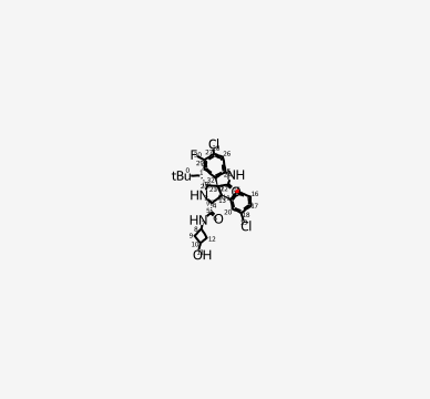 CC(C)(C)C[C@H]1N[C@@H](C(=O)NC2CC(O)C2)[C@H](c2cccc(Cl)c2)[C@@]12C(=O)Nc1cc(Cl)c(F)cc12